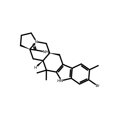 Cc1cc2c3c([nH]c2cc1Br)C(C)(C)[C@@H]1C[C@]24CCCN2C[C@@]1(C3)NC4=O